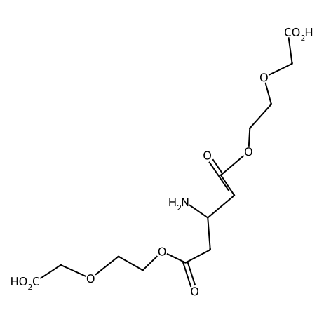 NC(CC(=O)OCCOCC(=O)O)CC(=O)OCCOCC(=O)O